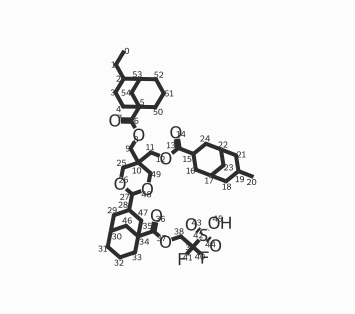 CCC1CCC2(C(=O)OCC3(COC(=O)C4CC5CC(C)CC(C5)C4)COC(C4CC5CCCC(C(=O)OCC(F)(F)S(=O)(=O)O)(C5)C4)OC3)CCCC1C2